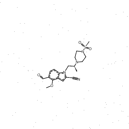 COc1c(C=O)ccc2c1cc(C#N)n2C[C@H](C)N1CCN(S(C)(=O)=O)CC1